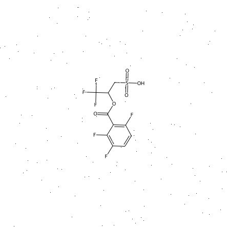 O=C(OC(CS(=O)(=O)O)C(F)(F)F)c1c(F)ccc(F)c1F